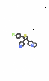 Fc1ccc(-c2scc(C3=CC4CCCN4CC3)c2-c2ccncc2)cc1